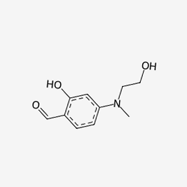 CN(CCO)c1ccc(C=O)c(O)c1